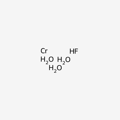 F.O.O.O.[Cr]